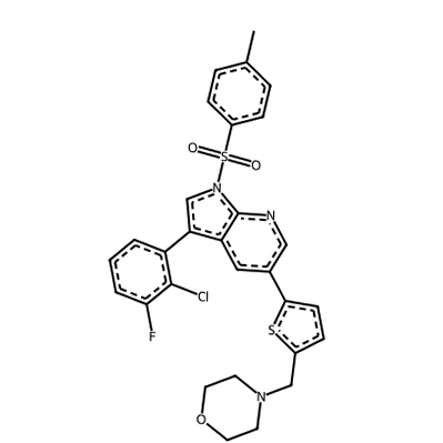 Cc1ccc(S(=O)(=O)n2cc(-c3cccc(F)c3Cl)c3cc(-c4ccc(CN5CCOCC5)s4)cnc32)cc1